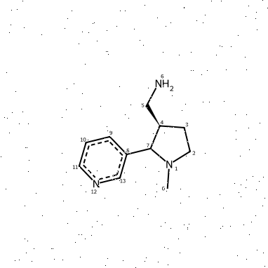 CN1CC[C@H](CN)C1c1cccnc1